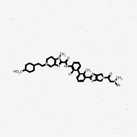 Cc1c(-c2nc3c(s2)CN(C(=O)CN(C)C(C)C)C3)cccc1-c1cccc(NC(=O)c2nc3c(n2C)CCN(CCC2CCC(C(=O)O)CC2)C3)c1Cl